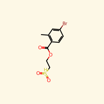 Cc1cc(Br)ccc1C(=O)OCC[SH](=O)=O